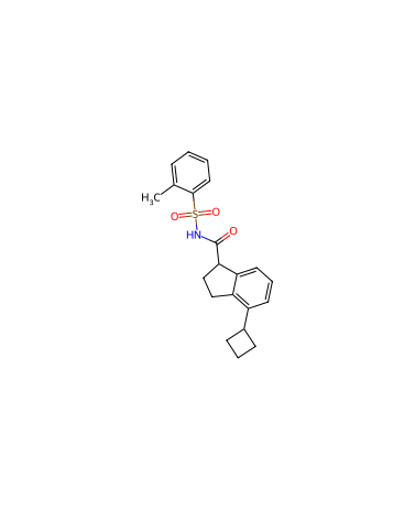 Cc1ccccc1S(=O)(=O)NC(=O)C1CCc2c(C3CCC3)cccc21